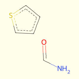 NC=O.c1ccsc1